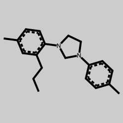 CCCc1cc(C)ccc1N1CCN(c2ccc(C)cc2)C1